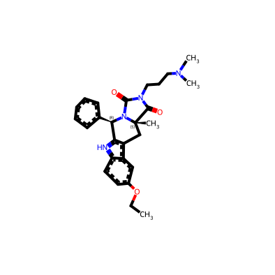 CCOc1ccc2[nH]c3c(c2c1)C[C@@]1(C)C(=O)N(CCCN(C)C)C(=O)N1[C@@H]3c1ccccc1